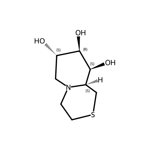 O[C@@H]1[C@H](O)[C@@H](O)CN2CCSC[C@H]12